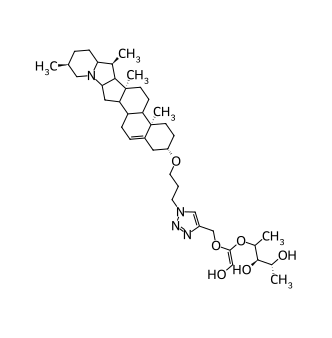 CC(O/C(=C/O)OCc1cn(CCCO[C@H]2CC[C@@]3(C)C(=CCC4C5CC6C([C@H](C)C7CC[C@H](C)CN67)[C@@]5(C)CCC43)C2)nn1)[C@H](O)[C@@H](C)O